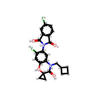 O=C1c2ccc(F)cc2C(=O)N1c1cc2c(cc1F)OC1(CC1)C(=O)N2CC1CCC1